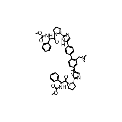 COC(=O)NC(C(=O)N1CCC[C@H]1c1ncc(-c2ccc(-c3ccc(-c4cnc([C@@H]5CCCN5C(=O)[C@H](NC(=O)OC)c5ccccc5)[nH]4)cc3CN(C)C)cc2)[nH]1)c1ccccc1